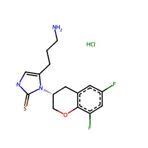 Cl.NCCCC1=C[N]C(=S)N1[C@H]1COc2c(F)cc(F)cc2C1